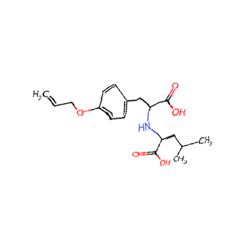 C=CCOc1ccc(CC(NC(CC(C)C)C(=O)O)C(=O)O)cc1